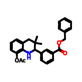 CC(=O)Oc1cccc2c1NC(c1cccc(C(=O)OCc3ccccc3)c1)C(C)(C)C2